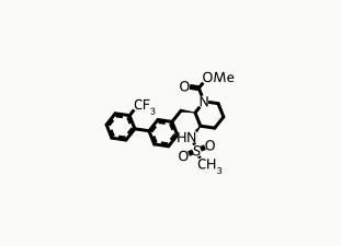 COC(=O)N1CCC[C@@H](NS(C)(=O)=O)[C@H]1Cc1cccc(-c2ccccc2C(F)(F)F)c1